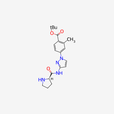 Cc1cc(-n2ccc(NC(=O)[C@H]3CCCN3)n2)ccc1C(=O)OC(C)(C)C